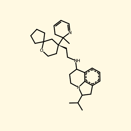 CC(C)C1Cc2cccc3c2N1CCC3NCC[C@@]1(C2(C)CC=CC=N2)CCOC2(CCCC2)C1